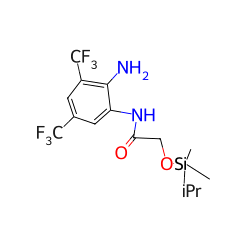 CC(C)[Si](C)(C)OCC(=O)Nc1cc(C(F)(F)F)cc(C(F)(F)F)c1N